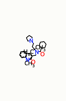 Cn1c(=O)c(CN(C(=O)C2CCCCC2)C(C)(C)CCN2CCCC2)cc2ccccc21